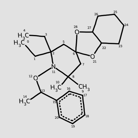 CCC1(CC)CC2(CC(C)(C)N1OC(C)c1ccccc1)OC1CCCCC1O2